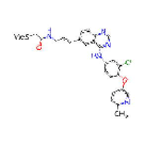 CSCC(=O)NCC=Cc1ccc2ncnc(Nc3ccc(Oc4ccc(C)nc4)c(Cl)c3)c2c1